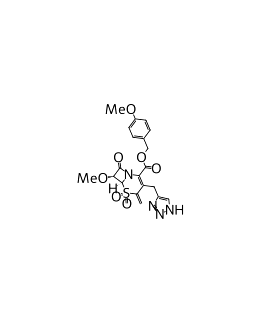 C=C1C(Cc2c[nH]nn2)=C(C(=O)OCc2ccc(OC)cc2)N2C(=O)[C@H](OC)[C@@H]2S1(=O)=O